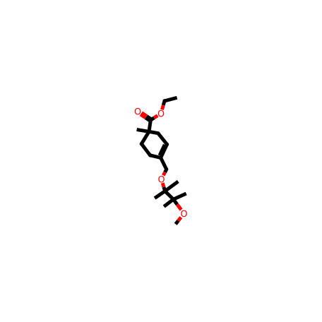 CCOC(=O)C1(C)CC=C(COC(C)(C)C(C)(C)OC)CC1